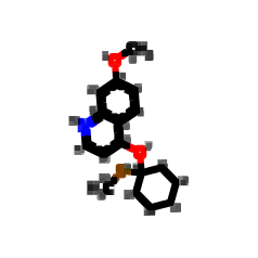 COc1ccc2c(OC3(SC)CCCCC3)ccnc2c1